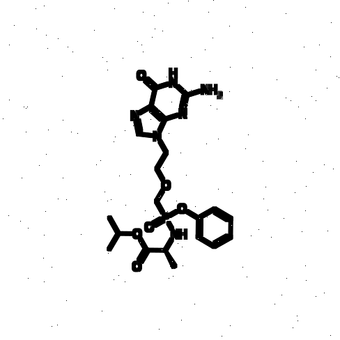 CC(C)OC(=O)[C@H](C)NP(=O)(COCCn1cnc2c(=O)[nH]c(N)nc21)Oc1ccccc1